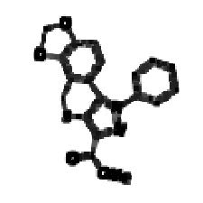 COC(=O)c1nn(-c2ccccc2)c2c1SCc1c-2ccc2c1OCO2